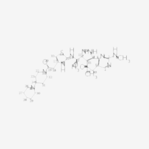 CNc1ncc2c(n1)-c1[nH]nc(C(=O)NC3NC(CC(=O)N4CCC(N5CCCCC5)CC4)=CS3)c1C(C)(C)C2